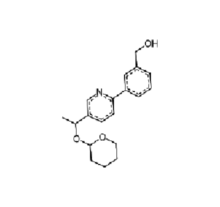 CC(OC1CCCCO1)c1ccc(-c2cccc(CO)c2)nc1